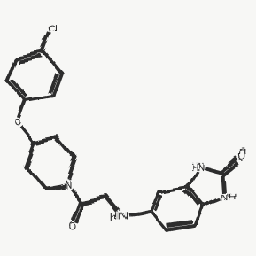 O=C(CNc1ccc2[nH]c(=O)[nH]c2c1)N1CCC(Oc2ccc(Cl)cc2)CC1